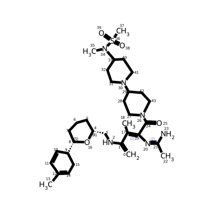 C=C(NC[C@H]1CCC[C@@H](C2C=CC(C)=CC2)O1)/C(C)=C(\N=C(\C)N)C(=O)N1CCC(N2CCC(N(C)S(C)(=O)=O)CC2)CC1